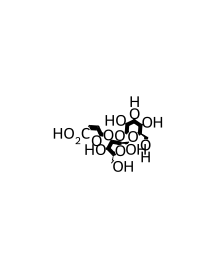 O=C(O)/C=C\C(=O)O[C@H]1[C@H](O)[C@@H](CO)O[C@@]1(CO)O[C@H]1O[C@H](CO)[C@@H](O)[C@H](O)[C@H]1O